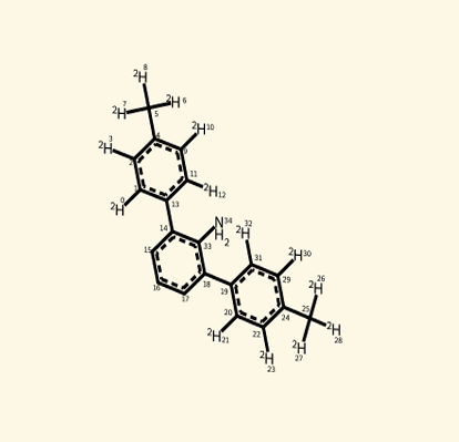 [2H]c1c([2H])c(C([2H])([2H])[2H])c([2H])c([2H])c1-c1cccc(-c2c([2H])c([2H])c(C([2H])([2H])[2H])c([2H])c2[2H])c1N